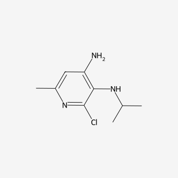 Cc1cc(N)c(NC(C)C)c(Cl)n1